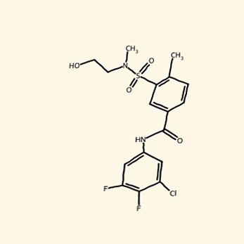 Cc1ccc(C(=O)Nc2cc(F)c(F)c(Cl)c2)cc1S(=O)(=O)N(C)CCO